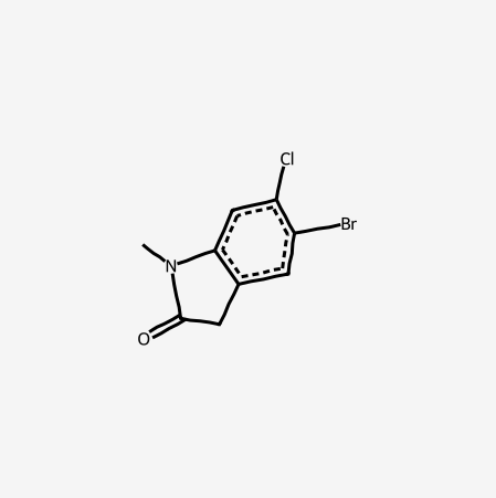 CN1C(=O)Cc2cc(Br)c(Cl)cc21